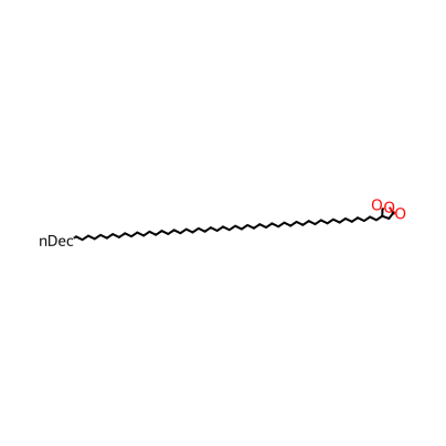 CCCCCCCCCCCCCCCCCCCCCCCCCCCCCCCCCCCCCCCCCCCCCCCCCCCCCCCCCCCCC1CC(=O)OC1=O